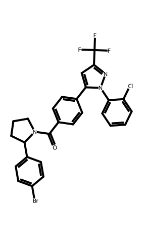 O=C(c1ccc(-c2cc(C(F)(F)F)nn2-c2ccccc2Cl)cc1)N1CCCC1c1ccc(Br)cc1